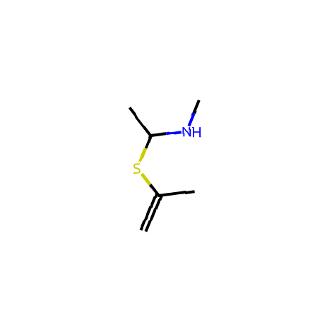 C=C(C)SC(C)NC